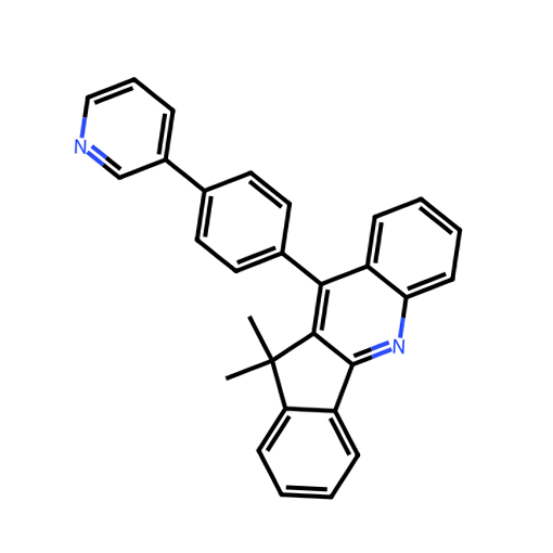 CC1(C)c2ccccc2-c2nc3ccccc3c(-c3ccc(-c4cccnc4)cc3)c21